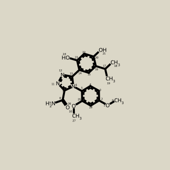 COc1ccc(-n2c(C(N)=O)nnc2-c2cc(C(C)C)c(O)cc2O)c(OC)c1